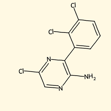 Nc1ncc(Cl)nc1-c1cccc(Cl)c1Cl